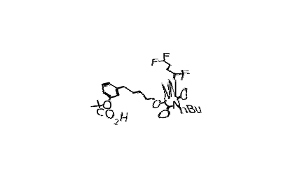 CCCCn1c(=O)c(OCCCCCc2cccc(OC(C)(C)C(=O)O)c2)nn(C(F)CCC(F)F)c1=O